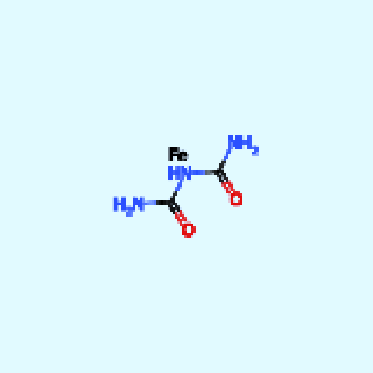 NC(=O)NC(N)=O.[Fe]